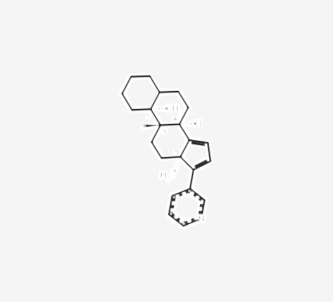 C[C@]12CC[C@H]3[C@@H](CCC4CCCC[C@@]43C)C1=CC=C2c1cccnc1